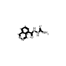 NC(=S)NNC(=O)c1cccc2cnncc12